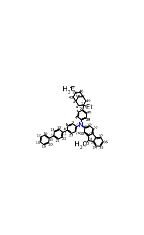 CCC1(c2ccc(N(c3ccc(-c4ccc(-c5ccccc5)cc4)cc3)c3ccc4c(c3)C(C)c3ccccc3-4)cc2)CC2CC(C)CC(C2)C1